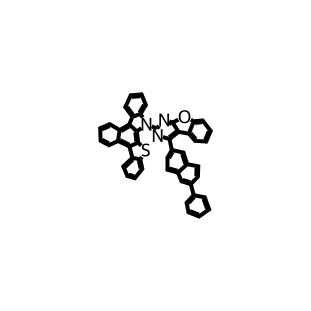 c1ccc(-c2ccc3cc(-c4nc(-n5c6ccccc6c6c7ccccc7c7c8ccccc8sc7c65)nc5oc6ccccc6c45)ccc3c2)cc1